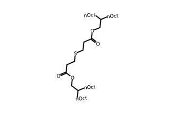 CCCCCCCCC(CCCCCCCC)COC(=O)CCSCCC(=O)OCC(CCCCCCCC)CCCCCCCC